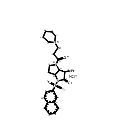 CCCC1C(=O)N(S(=O)(=O)c2ccc3ccccc3c2)C2CCN(C(=O)CCN3CCCCC3)C12.Cl